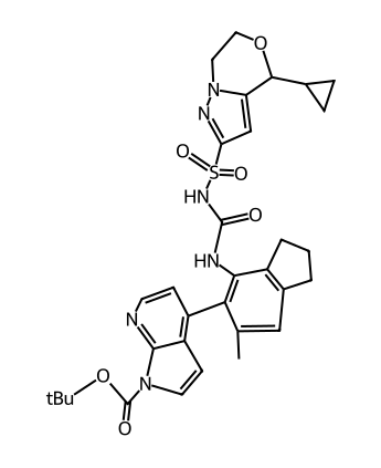 Cc1cc2c(c(NC(=O)NS(=O)(=O)c3cc4n(n3)CCOC4C3CC3)c1-c1ccnc3c1ccn3C(=O)OC(C)(C)C)CCC2